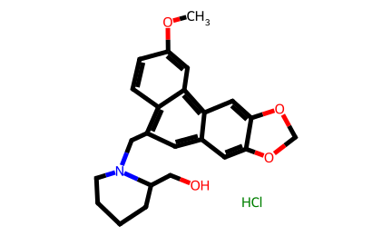 COc1ccc2c(CN3CCCCC3CO)cc3cc4c(cc3c2c1)OCO4.Cl